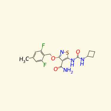 Cc1cc(F)c(COc2nsc(NC(=O)NC3CCC3)c2C(N)=O)c(F)c1